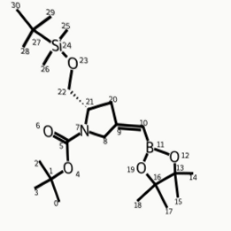 CC(C)(C)OC(=O)N1C/C(=C\B2OC(C)(C)C(C)(C)O2)C[C@H]1CO[Si](C)(C)C(C)(C)C